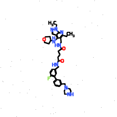 CCc1nc2c(cnn2CC)c(NC2CCOCC2)c1CNC(=O)CCCC(=O)NCc1ccc(F)c(-c2cccc(CN3CCNCC3)c2)c1